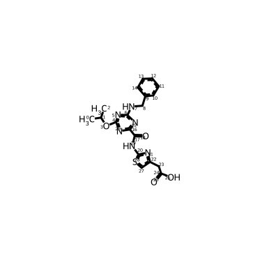 CC(C)Oc1nc(NCc2ccccc2)nc(C(=O)Nc2nc(CC(=O)O)cs2)n1